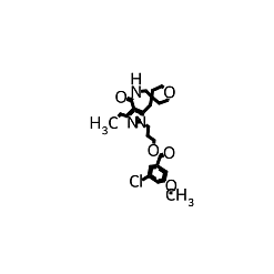 CCc1nn(CCCOC(=O)c2cc(Cl)cc(OC)c2)c2c1C(=O)NCC1(CCOCC1)C2